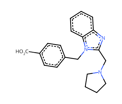 O=C(O)c1ccc(Cn2c(CN3CCCC3)nc3ccccc32)cc1